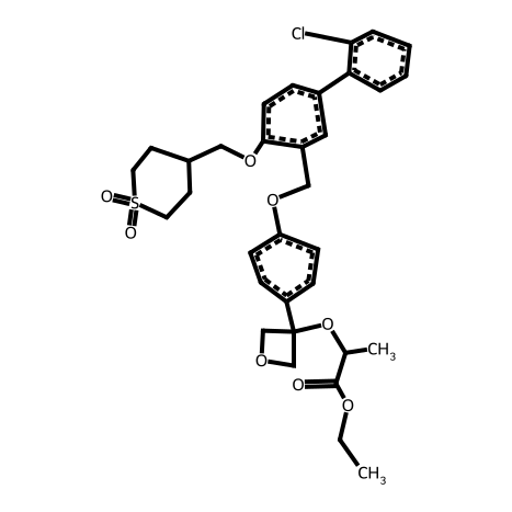 CCOC(=O)C(C)OC1(c2ccc(OCc3cc(-c4ccccc4Cl)ccc3OCC3CCS(=O)(=O)CC3)cc2)COC1